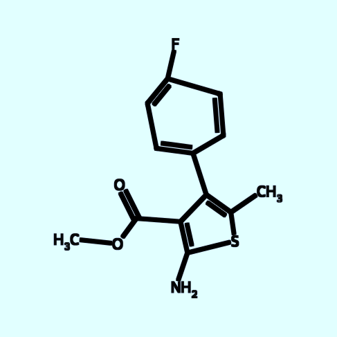 COC(=O)c1c(N)sc(C)c1-c1ccc(F)cc1